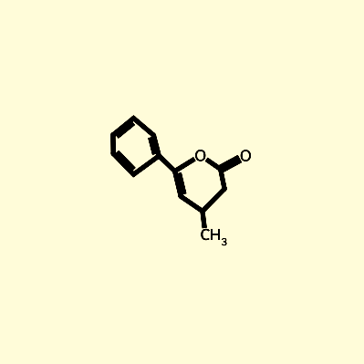 CC1C=C(c2ccccc2)OC(=O)C1